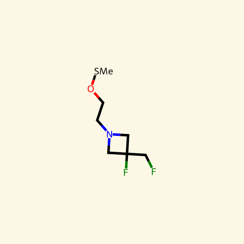 CSOCCN1CC(F)(CF)C1